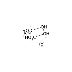 O.O=C(O)O.O=C(O)O.[KH]